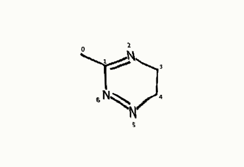 CC1=NCCN=N1